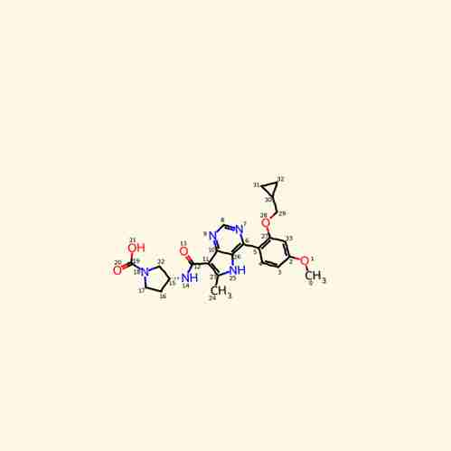 COc1ccc(-c2ncnc3c(C(=O)N[C@@H]4CCN(C(=O)O)C4)c(C)[nH]c23)c(OCC2CC2)c1